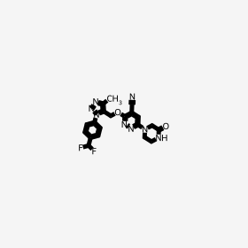 Cc1nnn(-c2ccc(C(F)F)cc2)c1COc1nnc(N2CCNC(=O)C2)cc1C#N